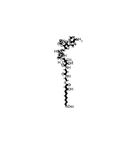 CCCCCCCCCCCCCC=CC=CC(O)=CC(=O)SCCNC(=O)CCNC(=O)[C@H](O)C(C)(C)COP(=O)(O)OP(=O)(O)OC[C@H]1O[C@@H](n2cnc3c(N)ncnc32)[C@H](O)[C@@H]1OP(=O)(O)O